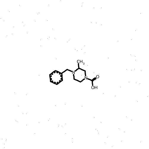 CC1CN(C(=O)O)CCN1Cc1ccccc1